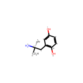 CCC[C@](N)(Cc1cc(O)ccc1O)C(=O)O